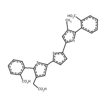 Cc1cc(-c2ccc(-c3cc(CC(=O)O)c(-c4ccccc4C(=O)O)s3)s2)sc1-c1ccccc1C(=O)O